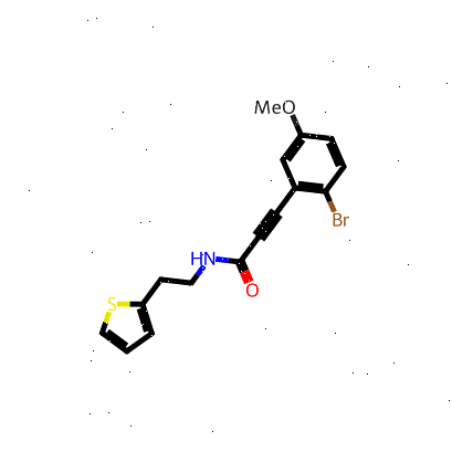 COc1ccc(Br)c(C#CC(=O)NCCc2cccs2)c1